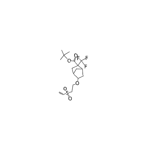 C=CS(=O)(=O)CCOC1CC2CC1CC2(C(=O)OC(C)(C)C)C(F)(F)F